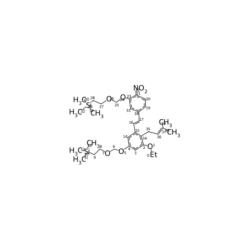 CCOc1cc(OCOCC[Si](C)(C)C)cc(C=Cc2ccc([N+](=O)[O-])c(OCOCC[Si](C)(C)C)c2)c1CC=C(C)C